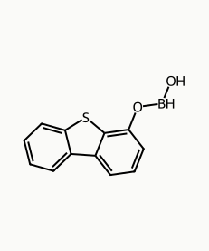 OBOc1cccc2c1sc1ccccc12